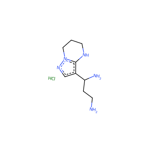 Cl.NCCC(N)c1cnn2c1NCCC2